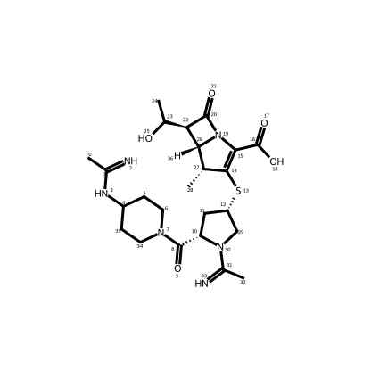 CC(=N)NC1CCN(C(=O)[C@@H]2C[C@H](SC3=C(C(=O)O)N4C(=O)[C@H](C(C)O)[C@H]4[C@H]3C)CN2C(C)=N)CC1